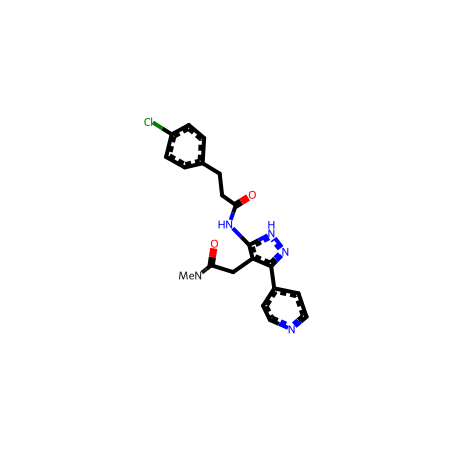 CNC(=O)Cc1c(-c2ccncc2)n[nH]c1NC(=O)CCc1ccc(Cl)cc1